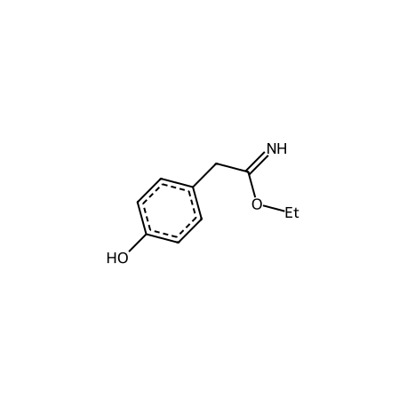 CCOC(=N)Cc1ccc(O)cc1